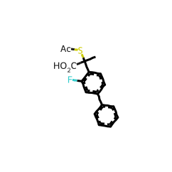 CC(=O)SC(C)(C(=O)O)c1ccc(-c2ccccc2)cc1F